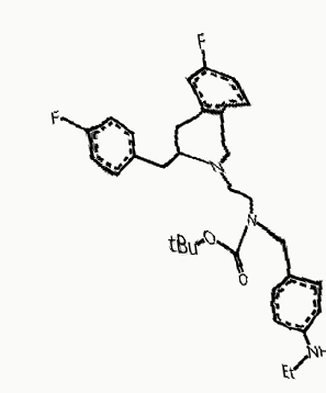 CCNc1ccc(CN(CCN2Cc3ccc(F)cc3CC2Cc2ccc(F)cc2)C(=O)OC(C)(C)C)cc1